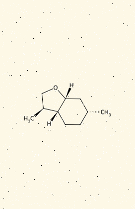 C[C@@H]1CC[C@@H]2[C@@H](C)CO[C@@H]2C1